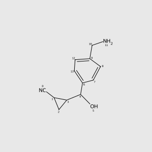 N#CC1CC1C(O)c1ccc(CN)cc1